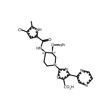 CCCO[C@H]1CN(c2nc(-c3cnccn3)c(C(=O)O)s2)CC[C@H]1NC(=O)c1cc(Cl)c(C)[nH]1